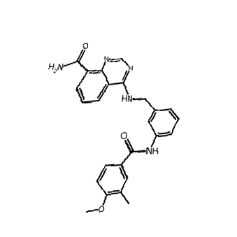 COc1ccc(C(=O)Nc2cccc(CNc3ncnc4c(C(N)=O)cccc34)c2)cc1C